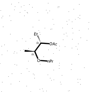 CCCO[C@@H](C)[C@H](CC)OC(C)=O